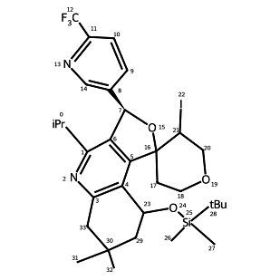 CC(C)c1nc2c(c3c1[C@@H](c1ccc(C(F)(F)F)nc1)OC31CCOCC1I)C(O[Si](C)(C)C(C)(C)C)CC(C)(C)C2